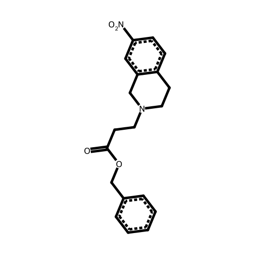 O=C(CCN1CCc2ccc([N+](=O)[O-])cc2C1)OCc1ccccc1